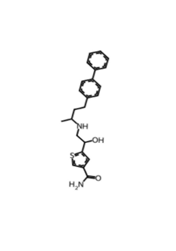 CC(CCc1ccc(-c2ccccc2)cc1)NCC(O)c1cc(C(N)=O)cs1